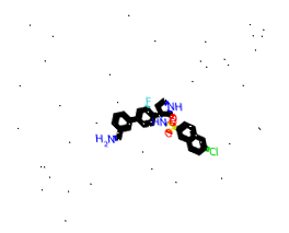 NCc1cccc(-c2ccc([C@@]3(NS(=O)(=O)c4ccc5cc(Cl)ccc5c4)CCNC3=O)c(F)c2)c1